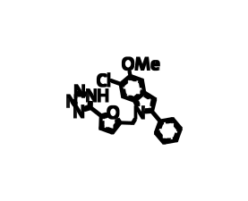 COc1cc2cc(-c3ccccc3)n(Cc3ccc(-c4nnn[nH]4)o3)c2cc1Cl